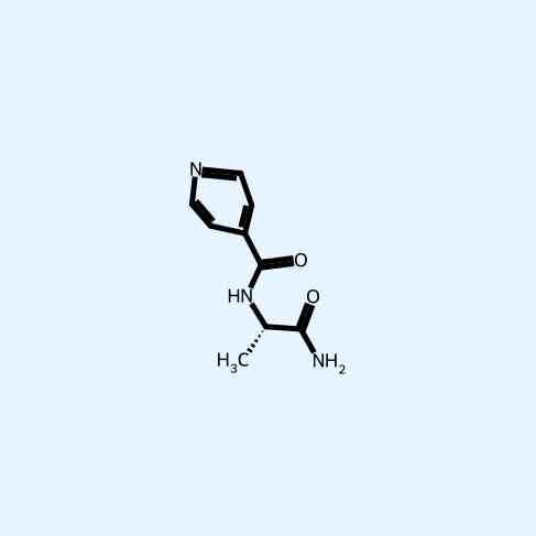 C[C@H](NC(=O)c1ccncc1)C(N)=O